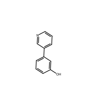 Oc1cccc(-c2c[c]cnc2)c1